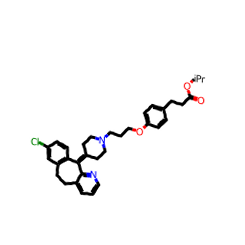 CC(C)OC(=O)CCc1ccc(OCCCN2CCC(=C3c4ccc(Cl)cc4CCc4cccnc43)CC2)cc1